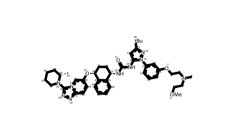 COCCN(C)CCOc1cccc(-n2nc(C(C)(C)C)cc2NC(=O)N[C@H]2CC[C@@H](Oc3ccc4nnc(N5CCCC[C@@H]5C)n4c3)c3ccccc32)c1